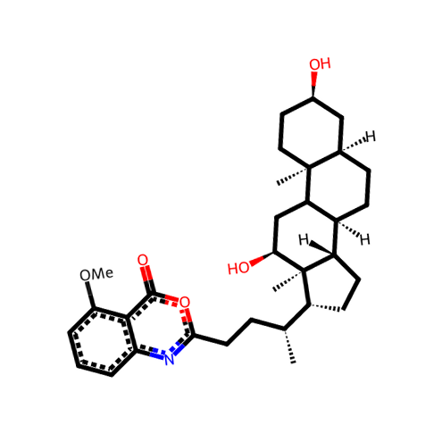 COc1cccc2nc(CC[C@@H](C)[C@H]3CC[C@H]4[C@@H]5CC[C@@H]6C[C@H](O)CC[C@]6(C)C5C[C@H](O)[C@]34C)oc(=O)c12